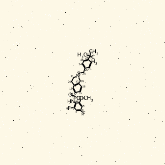 COc1cc(F)cc(F)c1NS(=O)(=O)c1ccc2c(c1)CCN(CCc1ccc(C(C)(C)C)cc1)C2